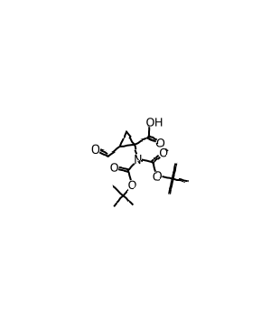 CC(C)(C)OC(=O)N(C(=O)OC(C)(C)C)C1(C(=O)O)CC1C=O